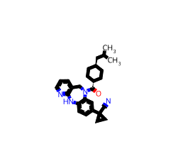 CC(C)C[C@H]1CC[C@H](C(=O)N2Cc3cccnc3Nc3ccc(C4(C#N)CC4)cc32)CC1